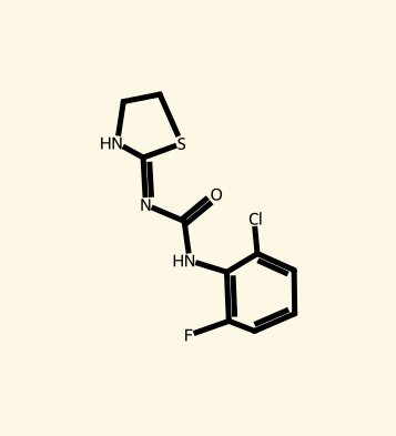 O=C(N=C1NCCS1)Nc1c(F)cccc1Cl